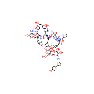 CN[C@H](CC(C)C)C(=O)N[C@H]1C(=O)N[C@@H](CC(N)=O)C(=O)N[C@H]2C(=O)N[C@H]3C(=O)N[C@H](C(=O)N[C@@H](C(=O)O)c4cc(O)cc(O)c4-c4cc3ccc4O)[C@H](O[C@H]3C[C@](C)(N)[C@@H](O)[C@H](C)O3)c3ccc(c(Cl)c3)Oc3cc2cc(c3O[C@@H]2O[C@H](CO)[C@@H](O[C@@H]3O[C@H](CNCc4ccc(-c5ccc(OC)cc5)s4)[C@H](O)[C@H](O)[C@H]3O)[C@H](O)[C@H]2O)Oc2ccc(cc2Cl)[C@H]1O